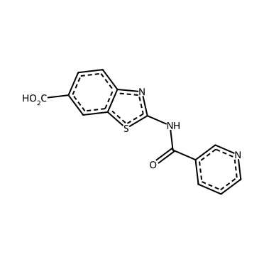 O=C(O)c1ccc2nc(NC(=O)c3cccnc3)sc2c1